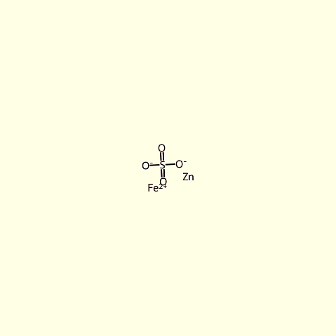 O=S(=O)([O-])[O-].[Fe+2].[Zn]